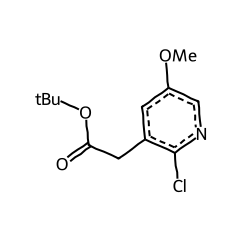 COc1cnc(Cl)c(CC(=O)OC(C)(C)C)c1